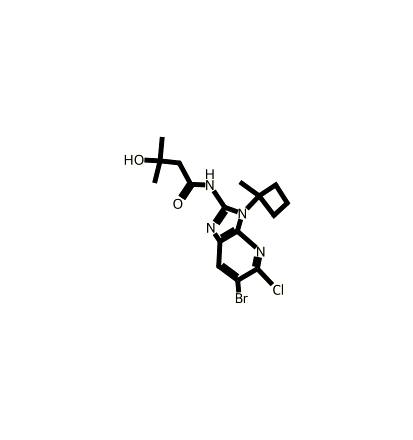 CC(C)(O)CC(=O)Nc1nc2cc(Br)c(Cl)nc2n1C1(C)CCC1